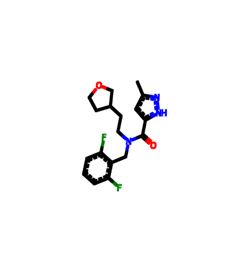 Cc1cc(C(=O)N(CCC2CCOC2)Cc2c(F)cccc2F)[nH]n1